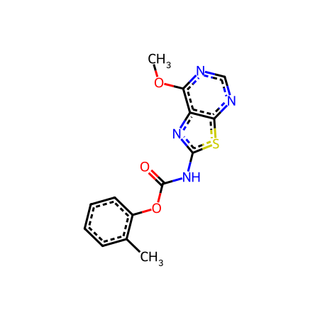 COc1ncnc2sc(NC(=O)Oc3ccccc3C)nc12